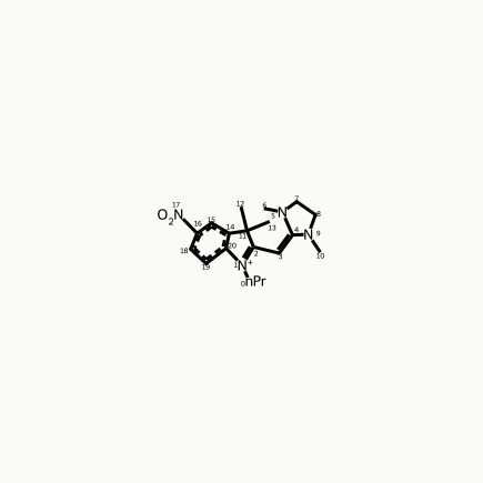 CCC[N+]1=C(C=C2N(C)CCN2C)C(C)(C)c2cc([N+](=O)[O-])ccc21